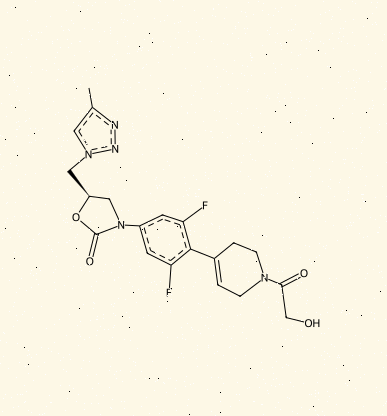 Cc1cn(C[C@H]2CN(c3cc(F)c(C4=CCN(C(=O)CO)CC4)c(F)c3)C(=O)O2)nn1